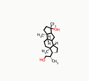 C[C@H](CO)[C@H]1CC[C@H]2[C@@H]3CC4[C@](C)(CC[C@@]4(O)C(F)(F)F)[C@H]3CC[C@]12C